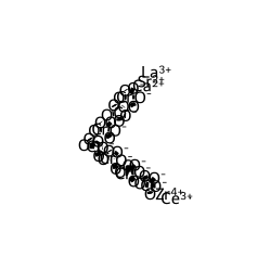 [Ca+2].[Ce+3].[La+3].[O]=[Cr](=[O])(=[O])([O-])[O-].[O]=[Cr](=[O])(=[O])([O-])[O-].[O]=[Cr](=[O])(=[O])([O-])[O-].[O]=[Cr](=[O])(=[O])([O-])[O-].[O]=[Cr](=[O])(=[O])([O-])[O-].[O]=[Cr](=[O])(=[O])([O-])[O-].[O]=[Cr](=[O])(=[O])([O-])[O-].[Sr+2].[Zr+4]